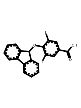 O=C(O)c1cc(I)c(OC2c3ccccc3-c3ccccc32)c(I)c1